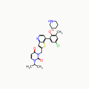 Cc1cc(Cl)cc(-c2ccnc3cc(Cn4c(=O)ccn(C(C)C)c4=O)sc23)c1O[C@H]1CCCNC1